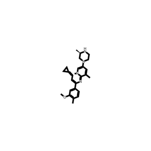 COc1cc(C(=C/C=C2CC2)/N=c2/c(C)cc(N3CCN[C@H](C)C3)cn2C)ccc1C